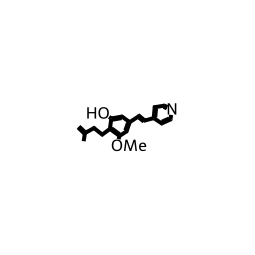 C=C(C)CCc1c(O)cc(C=Cc2ccncc2)cc1OC